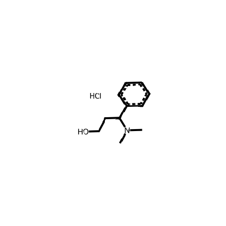 CN(C)C(CCO)c1ccccc1.Cl